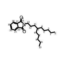 CCCCCC(CCCCC)CCCN1C(=O)c2ccccc2C1=O